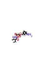 CCC(CC)C(=O)NOC(=O)CC(=O)OCc1cccc(N)c1